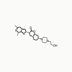 Cc1cn2cc(-c3cc4ccc(N5CCN(CCO)CC5)cc4oc3=O)nc2c(C)n1